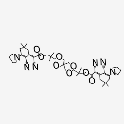 CC1(C)CC(N2CCCC2)=C(C#N)/C(=C(\C#N)C(=O)OCC(C)(C)C2OCC3(CO2)COC(C(C)(C)COC(=O)/C(C#N)=C2\CC(C)(C)CC(N4CCCC4)=C2C#N)OC3)C1